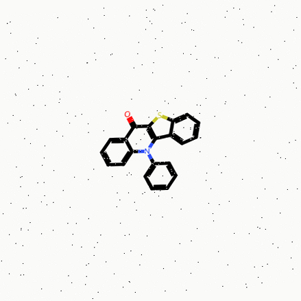 O=c1c2ccccc2n(-c2ccccc2)c2c1sc1ccccc12